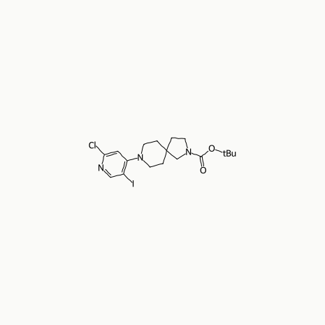 CC(C)(C)OC(=O)N1CCC2(CCN(c3cc(Cl)ncc3I)CC2)C1